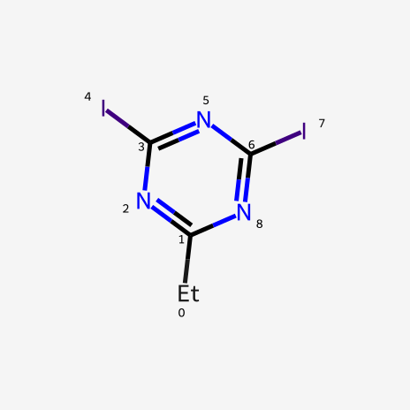 CCc1nc(I)nc(I)n1